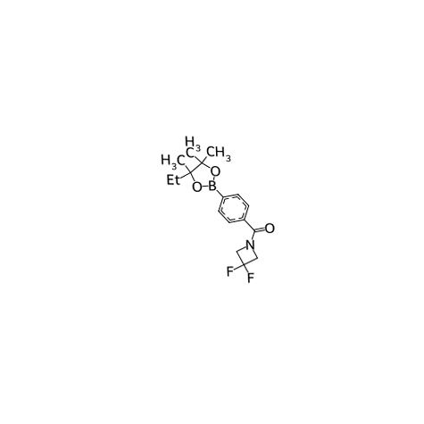 CCC1(C)OB(c2ccc(C(=O)N3CC(F)(F)C3)cc2)OC1(C)C